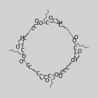 CCCCC[C@H]1C/C=C2/C(=O)C=CC2C/C=C\CCCC(=O)O[C@@H](CCCCC)C/C=C2/C(=O)C=C[C@@H]2C/C=C\CCCC(=O)O[C@@H](CCCCC)C/C=C2/C(=O)C=C[C@@H]2C/C=C\CCCC(=O)O[C@@H](CCCCC)C/C=C2/C(=O)C=C[C@@H]2C/C=C\CCCC(=O)O1